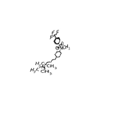 CCN(CC)C(C)(C)CCCCC1CCC(N(C)S(=O)(=O)c2ccc(C(F)(F)F)cc2)CC1